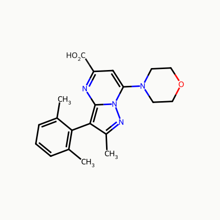 Cc1cccc(C)c1-c1c(C)nn2c(N3CCOCC3)cc(C(=O)O)nc12